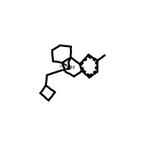 Cc1ccc2c(c1)C13CCCC[C@@]1(O)C(C2)N(CC1CCC1)CC3